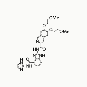 COCCOc1cc2cnc(C(=O)Nc3nc4c(C(=O)Nc5ncc[nH]5)cccc4[nH]3)cc2cc1OCCOC